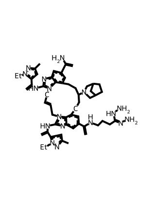 C=C(N)c1cc2c3c(c1)nc(NC(=C)c1cc(C)nn1CC)n3C/C=C/Cn1c(NC(=C)c3cc(C)nn3CC)nc3cc(C(=C)NCCC/C(=N/N)NN)cc(c31)CCC(N1CC3CCC(C3)C1)CC2